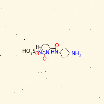 NC1CCC(NC(=O)[C@@H]2CC[C@@H]3CN2C(=O)N3OS(=O)(=O)O)CC1